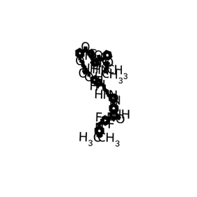 CN[C@@H](C)C(=O)N[C@H](C(=O)N1CCC[C@H]1c1nc(C(=O)c2cccc(OCCNC(=O)CO[C@@H]3C[C@@H]4CN(CCCNc5cc(N6CCC7(CC6)CN(c6cc(F)c(CN8CCC(C)(C)CC8)cc6F)CC(=O)N7)ncn5)C[C@@H]4C3)c2)cs1)C1CCCCC1